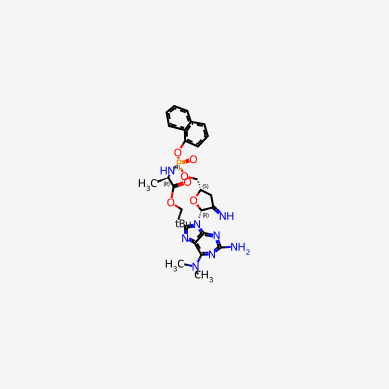 C[C@@H](N[P@@](=O)(OC[C@@H]1CC(=N)[C@H](n2cnc3c(N(C)C)nc(N)nc32)O1)Oc1cccc2ccccc12)C(=O)OCC(C)(C)C